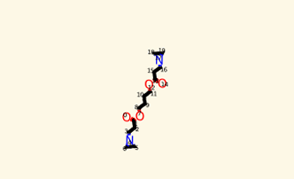 O=C(CCN1CC1)OCCCCOC(=O)CCN1CC1